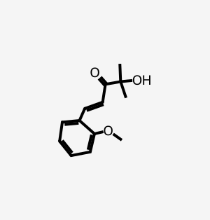 COc1ccccc1C=CC(=O)C(C)(C)O